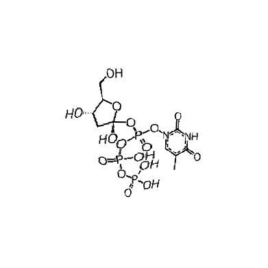 Cc1cn(OP(=O)(O[C@]2(O)C[C@H](O)[C@@H](CO)O2)OP(=O)(O)OP(=O)(O)O)c(=O)[nH]c1=O